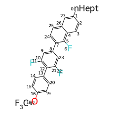 CCCCCCCc1ccc2c(F)c(-c3cc(F)c(-c4ccc(OC(F)(F)F)cc4)c(F)c3)ccc2c1